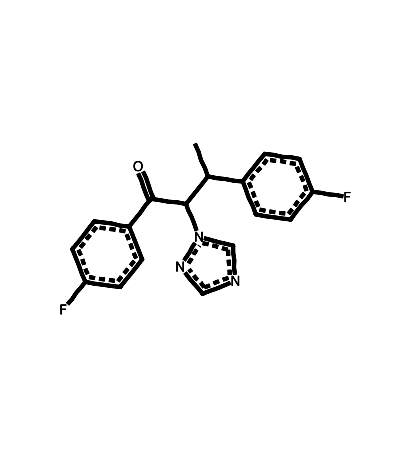 CC(c1ccc(F)cc1)C(C(=O)c1ccc(F)cc1)n1cncn1